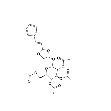 CC(=O)OC[C@H]1OC(OC2COC(/C=C/c3ccccc3)O2)[C@H](OC(C)=O)[C@@H](OC(C)=O)[C@@H]1OC(C)=O